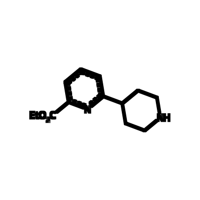 CCOC(=O)c1cccc(C2CCNCC2)n1